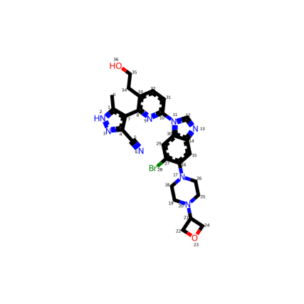 Cc1[nH]nc(C#N)c1-c1nc(-n2cnc3cc(N4CCN(C5COC5)CC4)c(Br)cc32)ccc1CCO